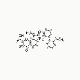 C=Cc1ccccc1-c1ccccc1Cn1c(C)c(N)c2c3c(ccc21)C(=O)C(=O)C(C(=O)O)O3